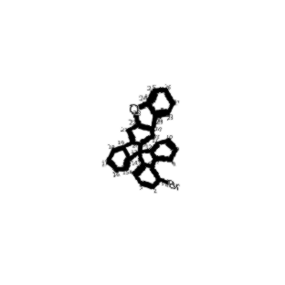 Brc1cccc2c1-c1ccccc1C21c2ccccc2-c2cc3oc4ccccc4c3cc21